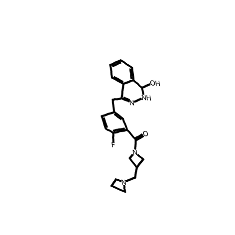 O=C(c1cc(CC2=NNC(O)c3ccccc32)ccc1F)N1CC(CN2CCC2)C1